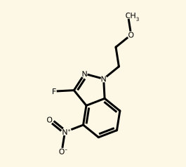 COCCn1nc(F)c2c([N+](=O)[O-])cccc21